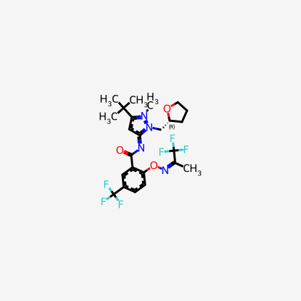 CC(=NOc1ccc(C(F)(F)F)cc1C(=O)N=c1cc(C(C)(C)C)n(C)n1C[C@H]1CCCO1)C(F)(F)F